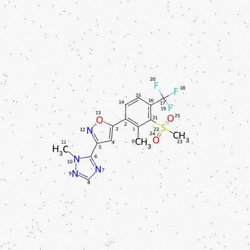 Cc1c(-c2cc(-c3ncnn3C)no2)ccc(C(F)(F)F)c1S(C)(=O)=O